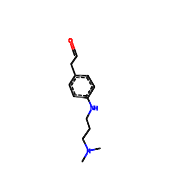 CN(C)CCCNc1ccc(CC=O)cc1